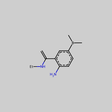 C=C(NCC)c1cc(B(C)C)ccc1N